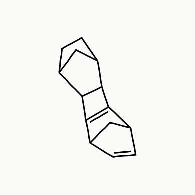 C1=CC2CC1C1=C2C2C3CCC(C3)C12